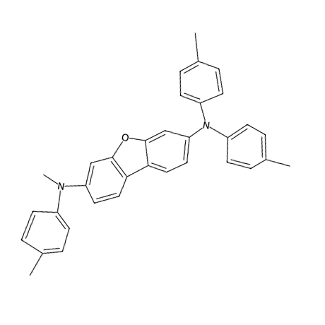 Cc1ccc(N(C)c2ccc3c(c2)oc2cc(N(c4ccc(C)cc4)c4ccc(C)cc4)ccc23)cc1